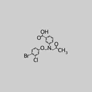 CC(=O)CN(COc1ccc(Br)c(Cl)c1)c1cccc(C(=O)O)c1